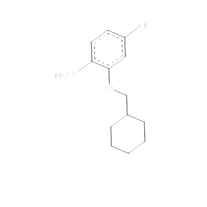 O=C(O)c1ccc(C(F)(F)F)cc1OCC1CCCCC1